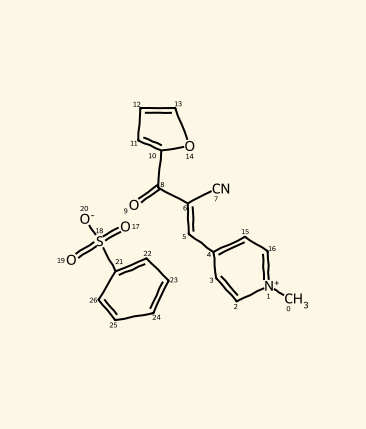 C[n+]1ccc(/C=C(\C#N)C(=O)c2ccco2)cc1.O=S(=O)([O-])c1ccccc1